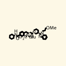 COCCCn1c([C@@H]2CCCN(C(=O)C[C@@H](Cc3ccc(C(=O)NC4CCCCC4)cc3)N(C(=O)O)C(C)(C)C)C2)nc2ccccc21